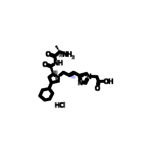 C[C@H](N)C(=O)NC(=O)[C@@H]1CC(C2CCCCC2)CN1C/C=C/c1cn(CC(=O)O)cn1.Cl